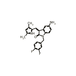 Cc1cc(C)c(/C=C2\C(=O)N(Cc3ccc(F)c(F)c3)c3ccc(N)cc32)[nH]1